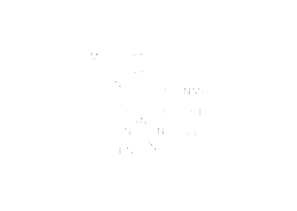 CNC(=O)[C@H]1O[C@@H](n2cnc3c(N)nc(C#CCN(CCOC)C(=O)c4ccccc4)nc32)[C@H](O)C1O